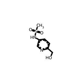 CS(=O)(=O)Nc1ccc(CO)nc1